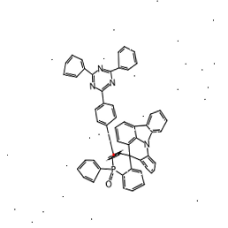 O=P1(c2ccccc2)c2ccccc2C2(c3ccccc3-n3c4ccccc4c4cccc2c43)c2cc(-c3ccc(-c4nc(-c5ccccc5)nc(-c5ccccc5)n4)cc3)ccc21